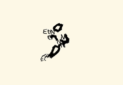 CCC1CCC(c2nc3cccnc3n2CCC(=O)N(CC)C2CCCCC2)CC1